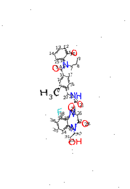 Cc1cc(C(=O)N2CCCOc3ccccc32)ccc1CNC(=O)ON1CC(=O)N(CCO)c2cccc(F)c21